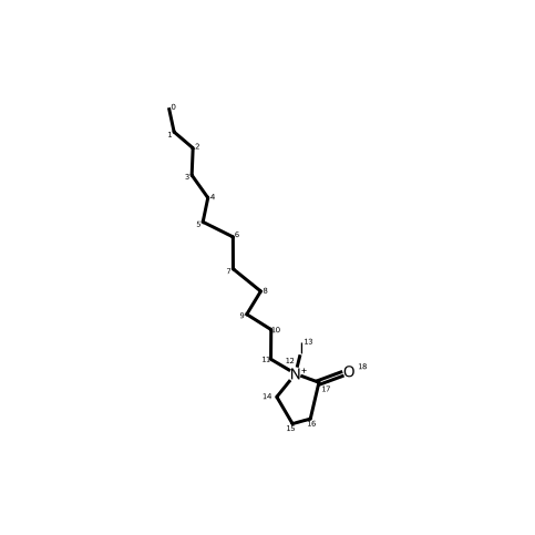 CCCCCCCCCCCC[N+]1(I)CCCC1=O